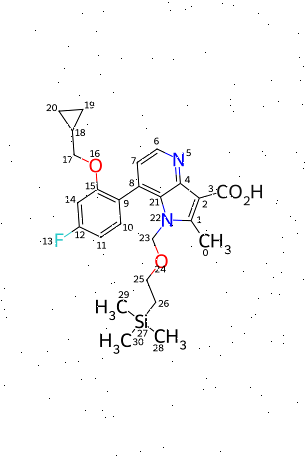 Cc1c(C(=O)O)c2nccc(-c3ccc(F)cc3OCC3CC3)c2n1COCC[Si](C)(C)C